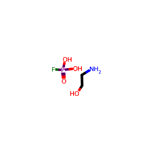 NCCO.O=P(O)(O)F